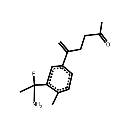 C=C(CCC(C)=O)c1ccc(C)c(C(C)(N)F)c1